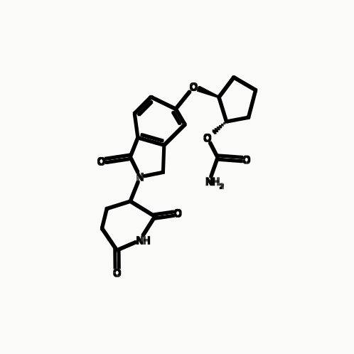 NC(=O)O[C@H]1CCC[C@@H]1Oc1ccc2c(c1)CN(C1CCC(=O)NC1=O)C2=O